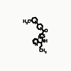 CCCC(Nc1ncc(C(=O)N2CCC(N3CCC[C@@H](C)C3)CC2)s1)c1ccccn1